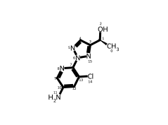 C[C@H](O)c1cnn(-c2ncc(N)cc2Cl)n1